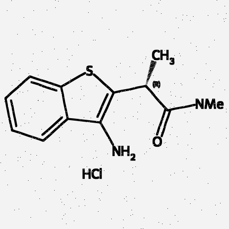 CNC(=O)[C@@H](C)c1sc2ccccc2c1N.Cl